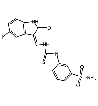 NS(=O)(=O)c1cccc(NC(=S)NN=C2C(=O)Nc3ccc(I)cc32)c1